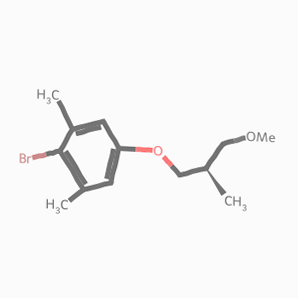 COC[C@@H](C)COc1cc(C)c(Br)c(C)c1